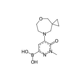 Cn1nc(B(O)O)cc(N2CCOCC3(CC3)C2)c1=O